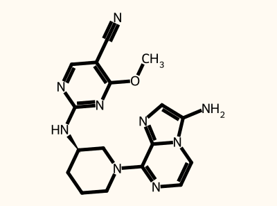 COc1nc(N[C@@H]2CCCN(c3nccn4c(N)cnc34)C2)ncc1C#N